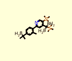 BC(C)(C)c1ccc(-c2cc(C(B)(B)S(C)(C)C)c(S(C)(C)C)cn2)c(C)c1